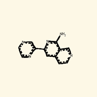 Nc1nc(-c2cnccn2)cc2ccncc12